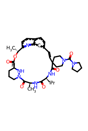 CC(C)[C@@H]1NC(=O)C2(/C=C/c3ccc4ccc(nc4c3)[C@@H](C)OC(=O)[C@@H]3CCCN(N3)C(=O)[C@H](C)NC1=O)CCN(C(=O)N1CCCC1)CC2